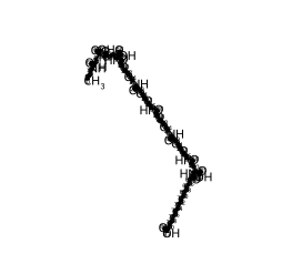 CCCCNC(=O)CC[C@H](NC(=O)CCC(NC(=O)COCCOCCNC(=O)COCCOCCNC(=O)COCCOCCNC(=O)COCCOCCNC(=O)CC[C@H](NC(=O)CCCCCCCCCCCCCCCCC(=O)O)C(=O)O)C(=O)O)C(=O)O